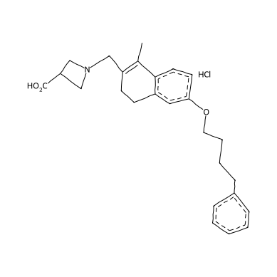 CC1=C(CN2CC(C(=O)O)C2)CCc2cc(OCCCCc3ccccc3)ccc21.Cl